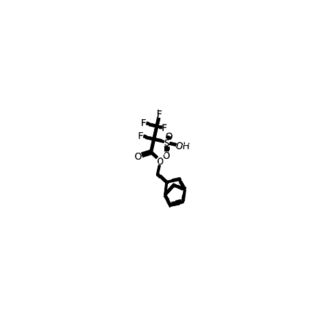 O=C(OCC1CC2C=CC1C2)C(F)(C(F)(F)F)S(=O)(=O)O